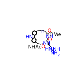 COC(=O)[C@@H]1C/C=C/Cc2ccc3[nH]c4ccc(cc4c3c2)CC(NC(C)=O)C(=O)N[C@@H](CCCNC(=N)N)C(=O)N1